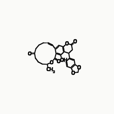 CC1CCCC(=O)CCCC=Cc2cc3c(c(O)c2C(=O)O1)C(c1ccc2c(c1)OCO2)CC(=O)O3